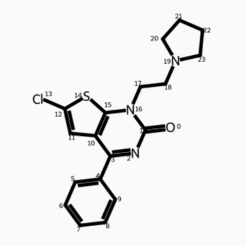 O=c1nc(-c2ccccc2)c2cc(Cl)sc2n1CCN1CCCC1